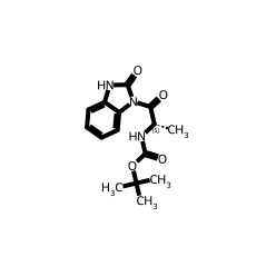 C[C@H](NC(=O)OC(C)(C)C)C(=O)n1c(=O)[nH]c2ccccc21